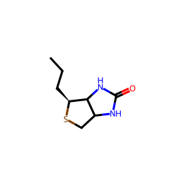 CCC[C@@H]1SCC2NC(=O)NC21